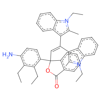 CCc1c(N)ccc(C2(C=C(c3c(C)n(CC)c4ccccc34)c3c(C)n(CC)c4ccccc34)OC(=O)c3ccccc32)c1CC